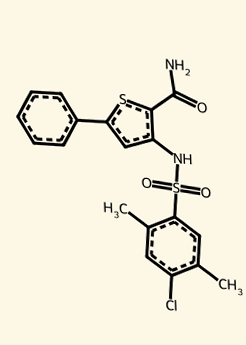 Cc1cc(S(=O)(=O)Nc2cc(-c3ccccc3)sc2C(N)=O)c(C)cc1Cl